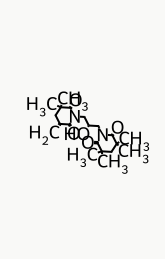 C=C1CC(C)(C)C(=O)N(CC(O)CN2C(=O)C(C)(C)CC(C)(C)C2=O)C1=O